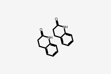 O=C1CCc2ccccc2N1.O=C1CCc2ccccc2N1